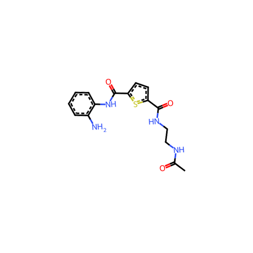 CC(=O)NCCNC(=O)c1ccc(C(=O)Nc2ccccc2N)s1